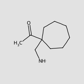 CC(=O)C1(C[NH])CCCCCC1